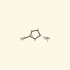 O[C@H]1CCN(Cl)C1